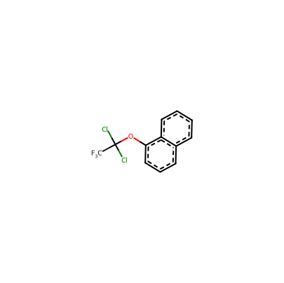 FC(F)(F)C(Cl)(Cl)Oc1cccc2ccccc12